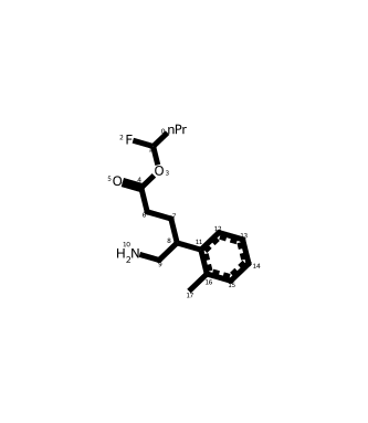 CCCC(F)OC(=O)CCC(CN)c1ccccc1C